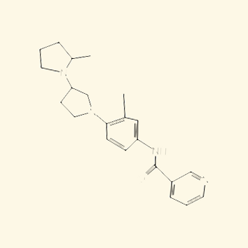 Cc1cc(NC(=O)c2cccnc2)ccc1N1CCC(N2CCCC2C)C1